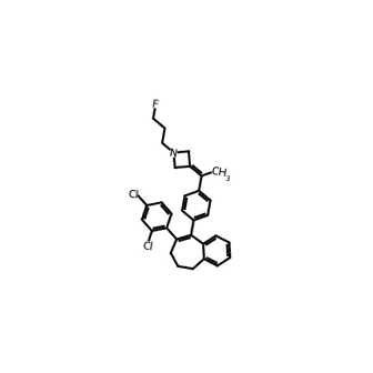 CC(=C1CN(CCCF)C1)c1ccc(C2=C(c3ccc(Cl)cc3Cl)CCCc3ccccc32)cc1